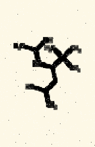 CC(O)CC(NC(C)O)C(C)(C)C